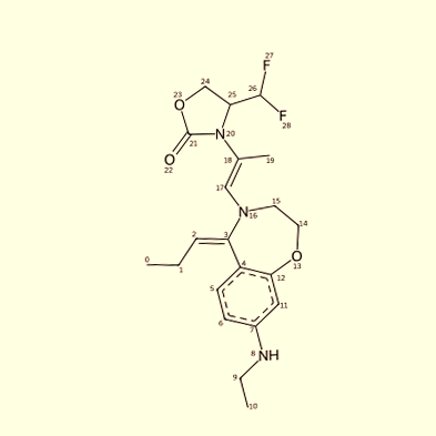 CC/C=C1\c2ccc(NCC)cc2OCCN1/C=C(\C)N1C(=O)OCC1C(F)F